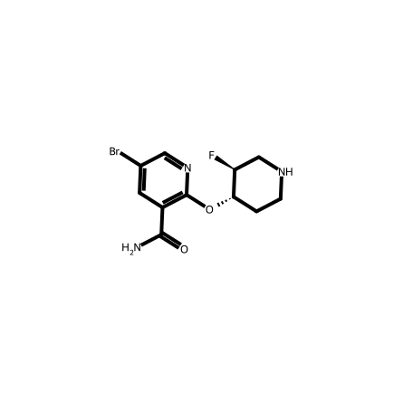 NC(=O)c1cc(Br)cnc1O[C@H]1CCNC[C@@H]1F